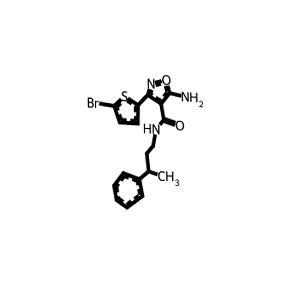 CC(CCNC(=O)c1c(-c2ccc(Br)s2)noc1N)c1ccccc1